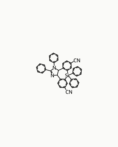 N#Cc1ccc2c(c1)[Si](c1ccccc1)(c1ccccc1)c1cc(C#N)ccc1C1C2N=C(c2ccccc2)N1c1ccccc1